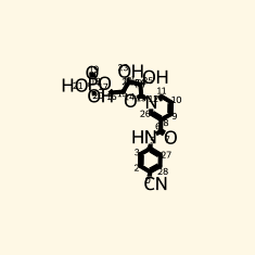 N#Cc1ccc(NC(=O)c2ccc[n+](C3OC(COP(=O)(O)O)[C@@H](O)[C@H]3O)c2)cc1